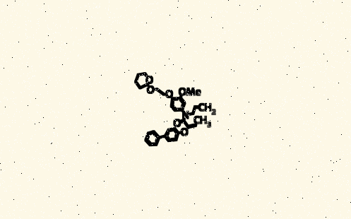 C=CCN(C(=O)C(=CC)Oc1ccc(-c2ccccc2)cc1)c1ccc(OCCOC2CCCCO2)c(OC)c1